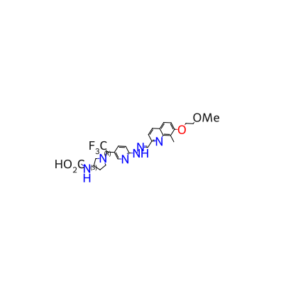 COCCOc1ccc2ccc(C=NNc3ccc([C@@H](N4CC[C@H](NC(=O)O)C4)C(F)(F)F)cn3)nc2c1C